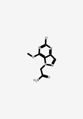 COc1nc(Cl)nc2cnn(CC(N)=O)c12